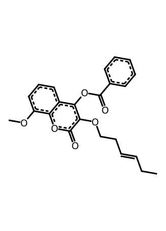 CCC=CCCOc1c(OC(=O)c2ccccc2)c2cccc(OC)c2oc1=O